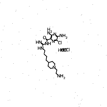 Cl.Cl.Cl.N=C(NCCCCC1CCN(CCN)CC1)NC(=O)c1nc(Cl)c(N)nc1N